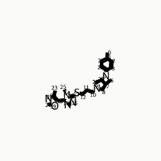 Cc1ccc(N2CC3CN(CCCSc4nnc(-c5ocnc5C)n4C)CC32)cc1